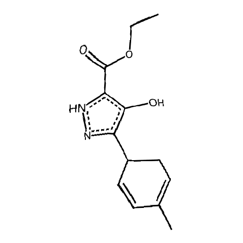 CCOC(=O)c1[nH]nc(C2C=CC(C)=CC2)c1O